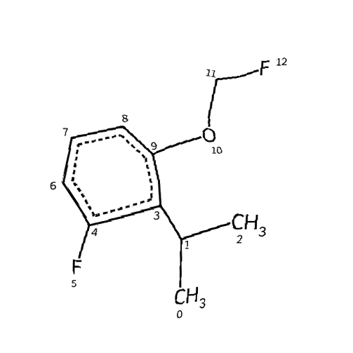 CC(C)c1c(F)cccc1OCF